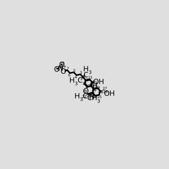 CC(C)(CCCCCO[N+](=O)[O-])c1cc(O)c2c(c1)OC(C)(C)[C@@H]1CC[C@@H](CO)C[C@@H]21